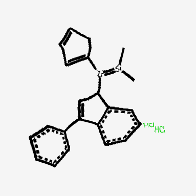 C[Si](C)=[Zr]([C]1=CC=CC1)[CH]1C=C(c2ccccc2)c2ccccc21.Cl.Cl